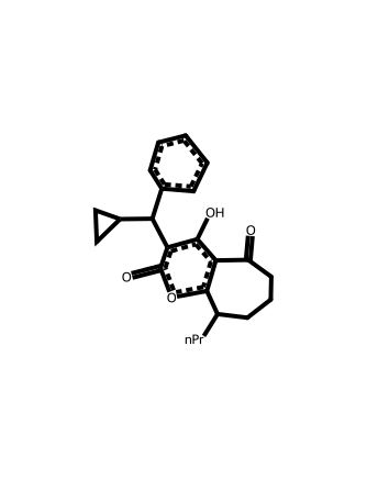 CCCC1CCCC(=O)c2c1oc(=O)c(C(c1ccccc1)C1CC1)c2O